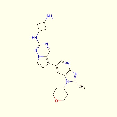 Cc1nc2ncc(-c3ccn4nc(NC5CC(N)C5)ncc34)cc2n1C1CCOCC1